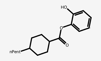 CCCCCC1CCC(C(=O)Oc2c[c]ccc2O)CC1